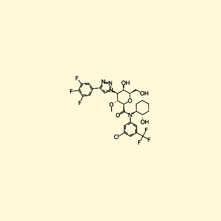 CO[C@@H]1[C@@H](n2cc(-c3cc(F)c(F)c(F)c3)nn2)[C@@H](O)[C@@H](CO)O[C@H]1C(=O)N(c1cc(Cl)cc(C(F)(F)F)c1)[C@H]1CCCC[C@@H]1O